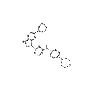 c1ccc(-c2ccc3[nH]cc(-c4ccnc(Nc5ccc(N6CCOCC6)cc5)n4)c3c2)cc1